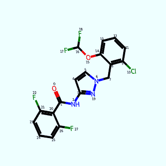 O=C(Nc1ccn(Cc2c(Cl)cccc2OC(F)F)n1)c1c(F)cccc1F